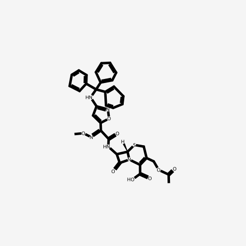 CON=C(C(=O)NC1C(=O)N2C(C(=O)O)=C(COC(C)=O)CS[C@@H]12)c1cc(NC(c2ccccc2)(c2ccccc2)c2ccccc2)no1